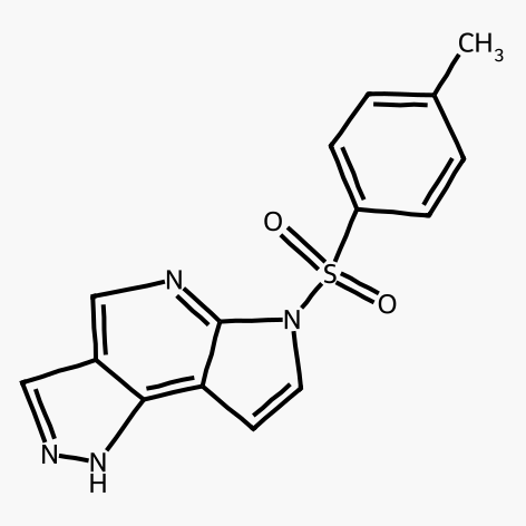 Cc1ccc(S(=O)(=O)n2ccc3c4[nH]ncc4cnc32)cc1